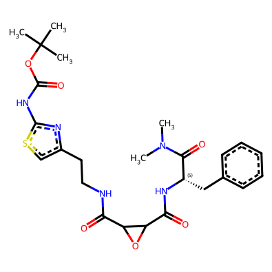 CN(C)C(=O)[C@H](Cc1ccccc1)NC(=O)C1OC1C(=O)NCCc1csc(NC(=O)OC(C)(C)C)n1